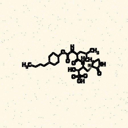 CCCCC1CCC(OC(=O)NC(CC(C)C)C(=O)NC(C[C@@H]2CCNC2=O)C(O)S(=O)(=O)O)CC1